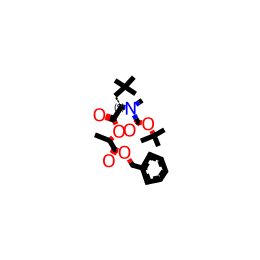 CC(OC(=O)[C@H](CC(C)(C)C)N(C)C(=O)OC(C)(C)C)C(=O)OCc1ccccc1